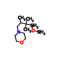 CC(CN1CCOCC1)C(C)(C)[SiH2]O[SiH3]